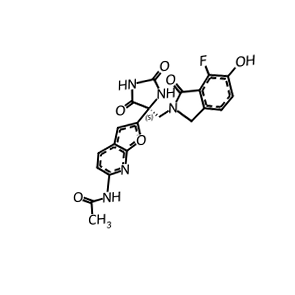 CC(=O)Nc1ccc2cc([C@]3(CN4Cc5ccc(O)c(F)c5C4=O)NC(=O)NC3=O)oc2n1